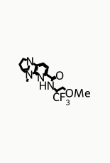 COCC(NC(=O)c1ccc2c(n1)N(C)C1CCN2C1)C(F)(F)F